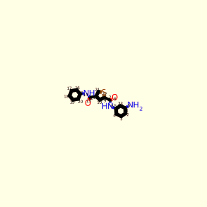 Nc1cccc(NC(=O)c2cc(C(=O)Nc3ccccc3)cs2)c1